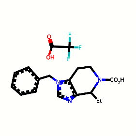 CCC1c2ncn(Cc3ccccc3)c2CCN1C(=O)O.O=C(O)C(F)(F)F